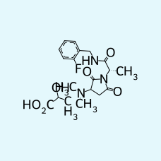 CC(O)C(=O)O.C[C@@H](C(=O)NCc1ccccc1F)N1C(=O)CC(N(C)C)C1=O